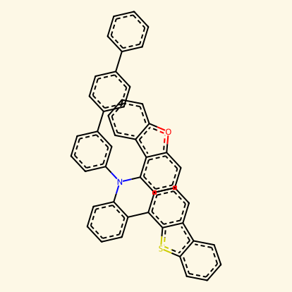 c1ccc(-c2ccc(-c3cccc(N(c4ccccc4-c4cccc5c4sc4ccccc45)c4cccc5oc6ccccc6c45)c3)cc2)cc1